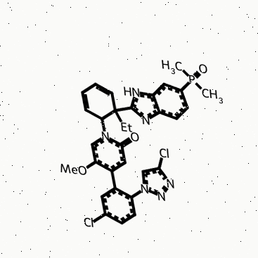 CCC1(c2nc3ccc(P(C)(C)=O)cc3[nH]2)C=CC=CC1n1cc(OC)c(-c2cc(Cl)ccc2-n2cc(Cl)nn2)cc1=O